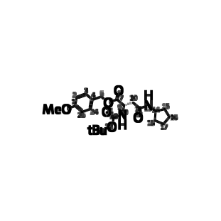 COc1ccc(COC(=O)[C@H](CC(=O)NC2CCCC2)NC(=O)OC(C)(C)C)cc1